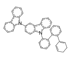 C1=CC(c2ccccc2-c2ccccc2-n2c3ccccc3c3cc(-n4c5ccccc5c5ccccc54)ccc32)=CCC1